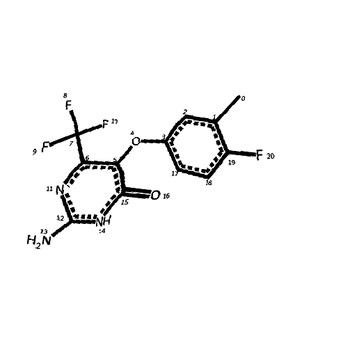 Cc1cc(Oc2c(C(F)(F)F)nc(N)[nH]c2=O)ccc1F